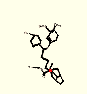 CCCCCCNC(=O)N(C)C1C2CCC1CN(CCCC(Oc1ccc(OC)c(OC)c1)c1ccc(C#N)cc1)C2